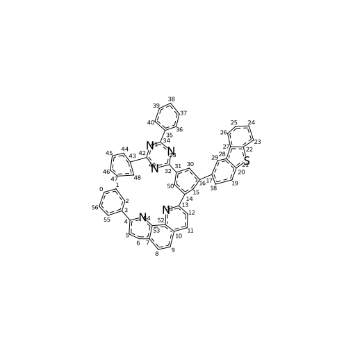 c1ccc(-c2ccc3ccc4ccc(-c5cc(-c6ccc7sc8ccccc8c7c6)cc(-c6nc(-c7ccccc7)nc(-c7ccccc7)n6)c5)nc4c3n2)cc1